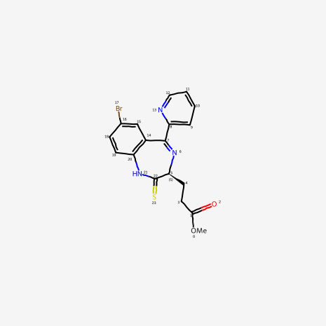 COC(=O)CC[C@@H]1N=C(c2ccccn2)c2cc(Br)ccc2NC1=S